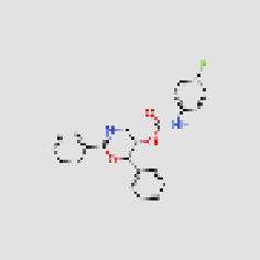 O=C(Nc1ccc(F)cc1)OC1CN=C(c2ccccc2)OC1c1ccccc1